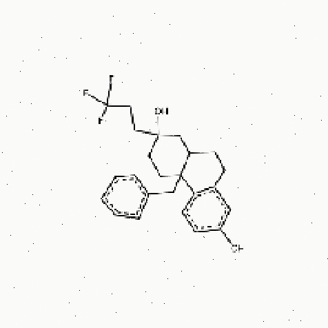 Oc1ccc2c(c1)CCC1CC(O)(CCC(F)(F)F)CCC21Cc1ccccc1